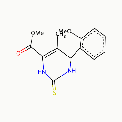 COC(=O)C1=C(C)C(c2ccccc2OC)NC(=S)N1